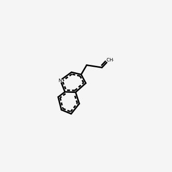 [CH]=CCc1cnc2ccccc2c1